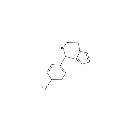 Cc1ccc(C2NCCn3cccc32)cc1